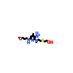 COCCCNc1cc(C)c(N)c(N(C)CCSCCO)n1